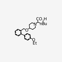 CCCCC(C(=O)O)N1CCC(OCc2ccccc2-c2ccc(OCC)cc2)CC1